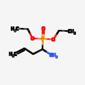 C=CCC(N)P(=O)(OCC)OCC